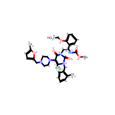 Cc1c(N2CCN(Cc3ccc(C(F)(F)F)o3)CC2)c(=O)n(C[C@H](NC(=O)OC(C)(C)C)c2ccccc2OCC(=O)O)c(=O)n1Cc1c(F)cccc1C(F)(F)F